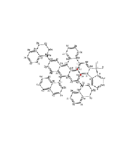 CC1(C)c2ccccc2-c2ccc(-c3ccccc3-c3c4cc(N5CCCc6ccccc65)ccc4c(-c4cccc5ccccc45)c4cc(N5CCCc6ccccc65)ccc34)cc21